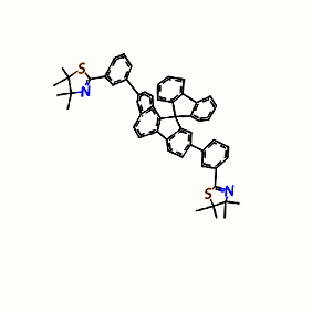 CC1(C)N=C(c2cccc(-c3ccc4c(c3)C3(c5ccccc5-c5ccccc53)c3c-4ccc4cc(-c5cccc(C6=NC(C)(C)C(C)(C)S6)c5)ccc34)c2)SC1(C)C